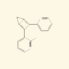 Cc1ncccc1C1=C2CC2=C1c1ccccn1